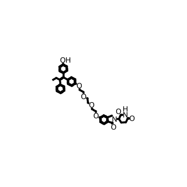 CCC(=C(c1ccc(O)cc1)c1ccc(OCCOCCOCCOc2ccc3c(c2)CN(C2CCC(=O)NC2=O)C3=O)cc1)c1ccccc1